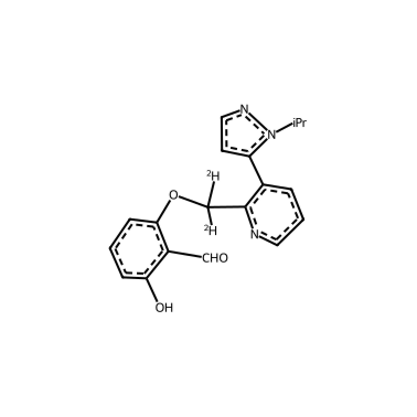 [2H]C([2H])(Oc1cccc(O)c1C=O)c1ncccc1-c1ccnn1C(C)C